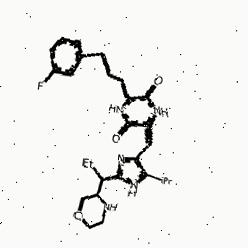 CCC(c1nc(C=c2[nH]c(=O)c(=CC=Cc3cccc(F)c3)[nH]c2=O)c(C(C)C)[nH]1)C1COCCN1